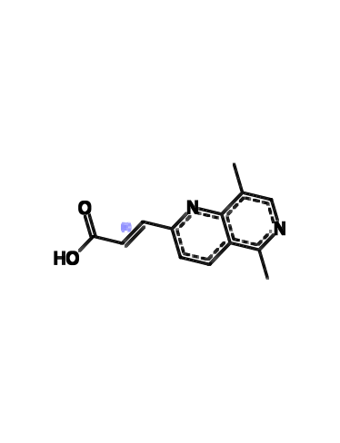 Cc1ncc(C)c2nc(/C=C/C(=O)O)ccc12